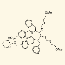 COCCOCOC1C(OCOCCOC)C(Cc2ccccc2)N(Cc2ccc(C(=O)O)cc2)C(=O)N(Cc2ccc(COC3CCCCO3)cc2)C1Cc1ccccc1